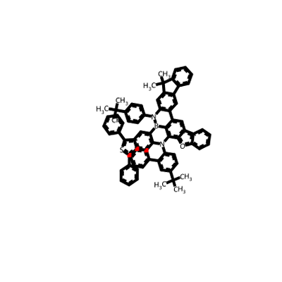 CC(C)(C)c1ccc(N2B3c4cc5c(-c6ccccc6)sc(-c6ccccc6)c5cc4N(c4ccc(C(C)(C)C)cc4-c4ccccc4)c4c3c(cc3c4oc4ccccc43)-c3cc4c(cc32)C(C)(C)c2ccccc2-4)cc1